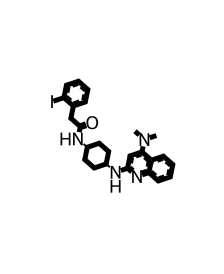 CN(C)c1cc(N[C@H]2CC[C@@H](NC(=O)Cc3ccccc3I)CC2)nc2ccccc12